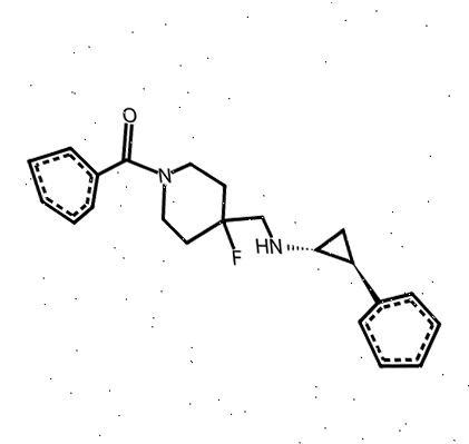 O=C(c1ccccc1)N1CCC(F)(CN[C@@H]2C[C@H]2c2ccccc2)CC1